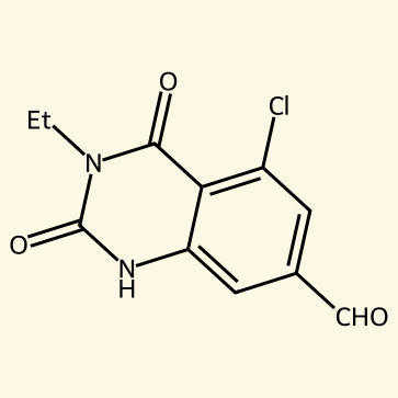 CCn1c(=O)[nH]c2cc(C=O)cc(Cl)c2c1=O